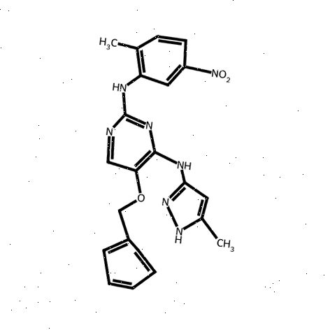 Cc1cc(Nc2nc(Nc3cc([N+](=O)[O-])ccc3C)ncc2OCc2ccccc2)n[nH]1